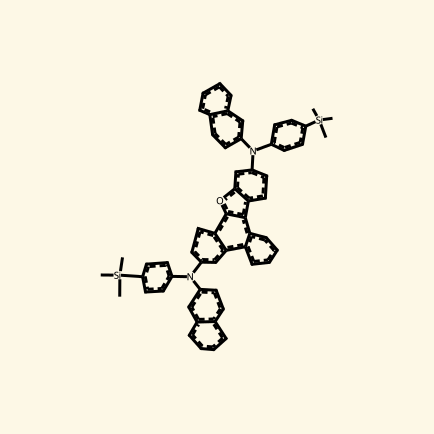 C[Si](C)(C)c1ccc(N(c2ccc3ccccc3c2)c2ccc3c(c2)oc2c4ccc(N(c5ccc([Si](C)(C)C)cc5)c5ccc6ccccc6c5)cc4c4ccccc4c32)cc1